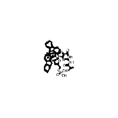 CC(C)C(=O)Nc1nc2c(ncn2[C@]2(C(c3cccc4c3Cc3ccccc3-4)c3cccc4c3Cc3ccccc3-4)OC(COP(=O)(O)O)=C[C@H]2O[Si](C)(C)C(C)(C)C)c(=O)[nH]1